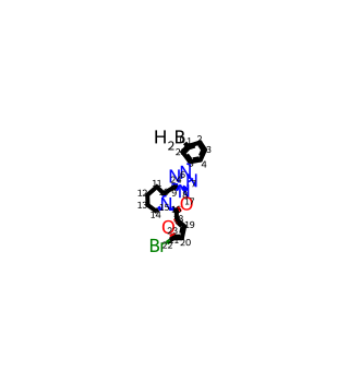 Bc1cccc(-n2nnc(C3CCCCN3C(=O)c3ccc(Br)o3)n2)c1